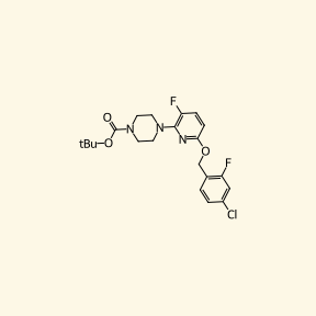 CC(C)(C)OC(=O)N1CCN(c2nc(OCc3ccc(Cl)cc3F)ccc2F)CC1